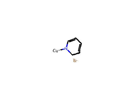 [Br-].[Cu+][N]1C=CC=CC1